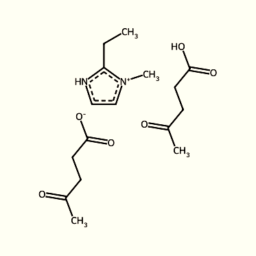 CC(=O)CCC(=O)O.CC(=O)CCC(=O)[O-].CCc1[nH]cc[n+]1C